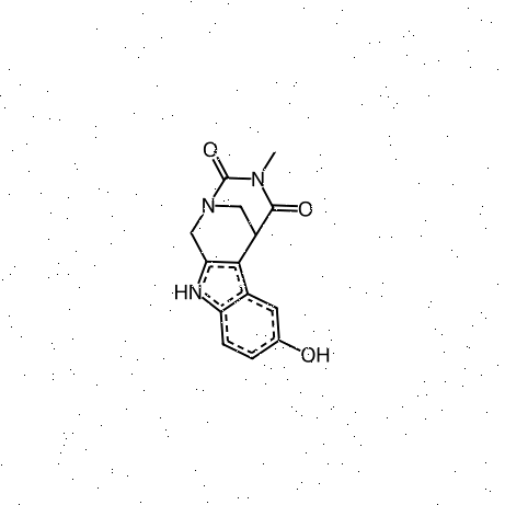 CN1C(=O)C2CN(Cc3[nH]c4ccc(O)cc4c32)C1=O